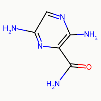 NC(=O)c1nc(N)cnc1N